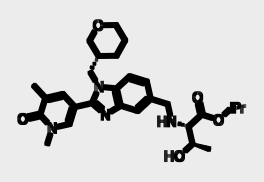 Cc1cc(-c2nc3cc(CN[C@H](C(=O)OC(C)C)[C@@H](C)O)ccc3n2C[C@H]2CCCOC2)cn(C)c1=O